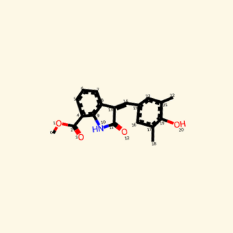 COC(=O)c1cccc2c1NC(=O)C2=Cc1cc(C)c(O)c(C)c1